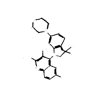 Cc1nc2ccc(Cl)cc2c(N2CC(C)(C)c3ccc(N4CCOCC4)cc32)c1C